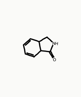 O=C1NCC2C=CC=[C]C12